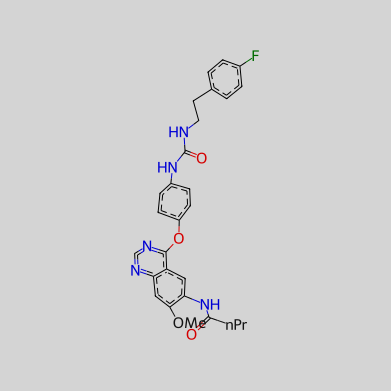 CCCC(=O)Nc1cc2c(Oc3ccc(NC(=O)NCCc4ccc(F)cc4)cc3)ncnc2cc1OC